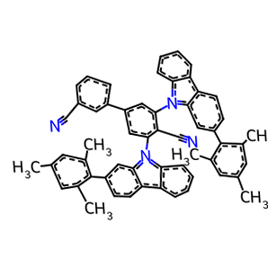 Cc1cc(C)c(-c2ccc3c4ccccc4n(-c4cc(-c5cccc(C#N)c5)cc(-n5c6ccccc6c6ccc(-c7c(C)cc(C)cc7C)cc65)c4C#N)c3c2)c(C)c1